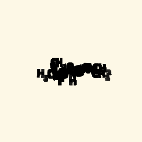 CCCC(C)Oc1ccc(C(=O)Nc2ccc(N3CCC(N(C)C)C3)cc2)cc1F